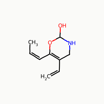 C=CC1=C(/C=C\C)OC(O)NC1